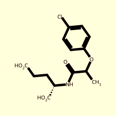 CC(Oc1ccc(Cl)cc1)C(=O)N[C@@H](CCC(=O)O)C(=O)O